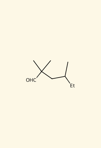 CCC(C)CC(C)(C)C=O